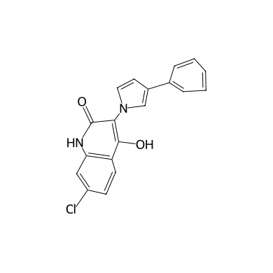 O=c1[nH]c2cc(Cl)ccc2c(O)c1-n1ccc(-c2ccccc2)c1